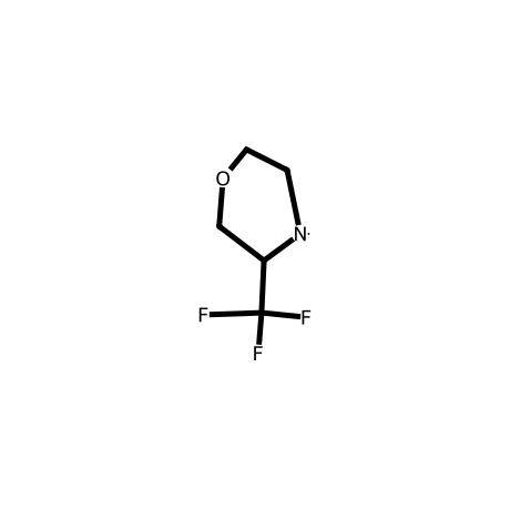 FC(F)(F)C1COCC[N]1